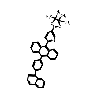 CC1(C)OB(c2ccc(-c3c4ccccc4c(-c4ccc(-c5cccc6ccccc56)cc4)c4ccccc34)nc2)OC1(C)C